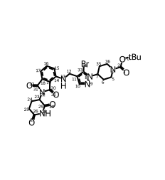 CC(C)(C)OC(=O)N1CCC(n2ncc(CNc3cccc4c3C(=O)N(C3CCC(=O)NC3=O)C4=O)c2Br)CC1